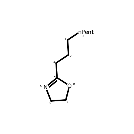 CCCCCCCCC1=NCCO1